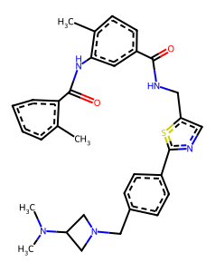 Cc1ccc(C(=O)NCc2cnc(-c3ccc(CN4CC(N(C)C)C4)cc3)s2)cc1NC(=O)c1ccccc1C